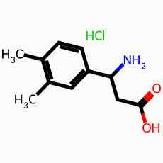 Cc1ccc(C(N)CC(=O)O)cc1C.Cl